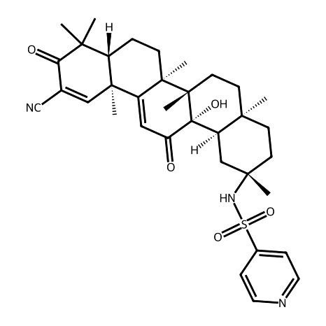 CC1(C)C(=O)C(C#N)=C[C@]2(C)C3=CC(=O)[C@]4(O)[C@@H]5C[C@@](C)(NS(=O)(=O)c6ccncc6)CC[C@]5(C)CC[C@@]4(C)[C@]3(C)CC[C@@H]12